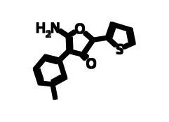 Cc1cccc(C2=C(N)OC(c3cccs3)C2=O)c1